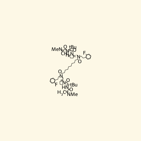 CN[C@@H](C)C(=O)N[C@H](C(=O)N1CCC[C@H]1CN(CCc1ccccc1F)C(=O)CCCCCCCCC(=O)N(CCc1ccccc1F)C[C@@H]1CCCN1C(=O)[C@@H](NC(=O)[C@H](C)NC)C(C)(C)C)C(C)(C)C